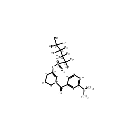 CN(C)c1cc(C(=O)N2C=C(OS(=O)(=O)C(F)(F)C(F)(F)C(F)(F)C(F)(F)F)CCC2)ccn1